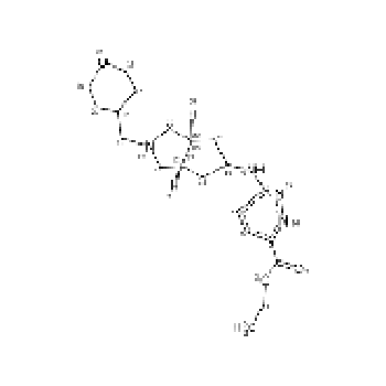 CCOC(=O)c1ccc(NC2C[C@@H]3CN(CC4CCOCC4)C[C@@H]3C2)nn1